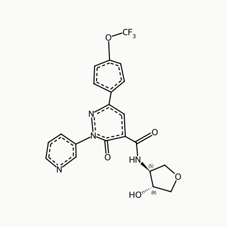 O=C(N[C@H]1COC[C@@H]1O)c1cc(-c2ccc(OC(F)(F)F)cc2)nn(-c2cccnc2)c1=O